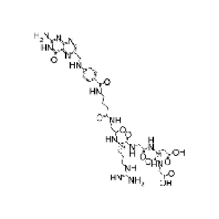 N=C(N)NCCC[C@H](NC(=O)CNC(=O)CCCNC(=O)c1ccc(NCc2cnc3nc(N)[nH]c(=O)c3n2)cc1)C(=O)NCC(=O)N[C@@H](CC(=O)O)C(=O)NCC(=O)O